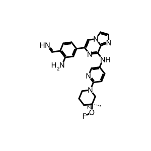 C[C@]1(OF)CCCN(c2ccc(Nc3nc(-c4ccc(C=N)c(N)c4)cn4ccnc34)cn2)C1